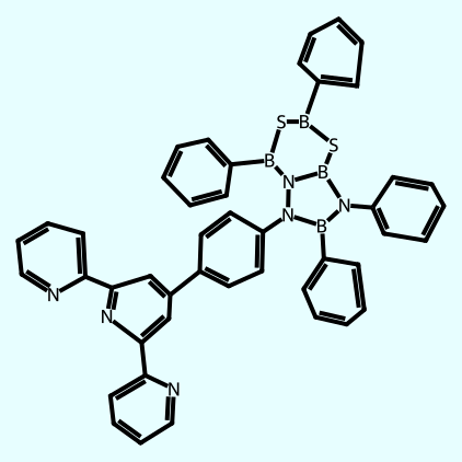 c1ccc(B2SB(c3ccccc3)N3B(S2)N(c2ccccc2)B(c2ccccc2)N3c2ccc(-c3cc(-c4ccccn4)nc(-c4ccccn4)c3)cc2)cc1